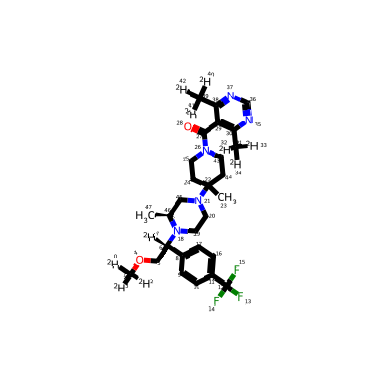 [2H]C([2H])([2H])OC[C@@]([2H])(c1ccc(C(F)(F)F)cc1)N1CCN(C2(C)CCN(C(=O)c3c(C([2H])([2H])[2H])ncnc3C([2H])([2H])[2H])CC2)C[C@@H]1C